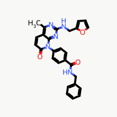 Cc1nc(NCc2ccco2)nc2c1ccc(=O)n2-c1ccc(C(=O)NCc2ccccc2)cc1